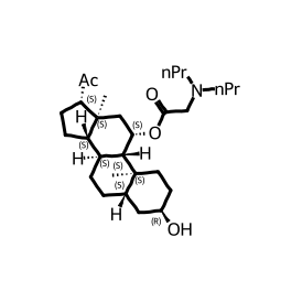 CCCN(CCC)CC(=O)O[C@H]1C[C@]2(C)[C@@H](C(C)=O)CC[C@H]2[C@@H]2CC[C@H]3C[C@H](O)CC[C@]3(C)[C@H]21